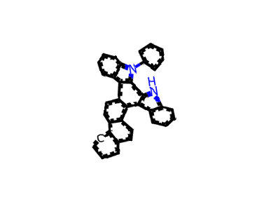 c1ccc(-n2c3ccccc3c3c4ccc5c6ccccc6ccc5c4c4c5ccccc5[nH]c4c32)cc1